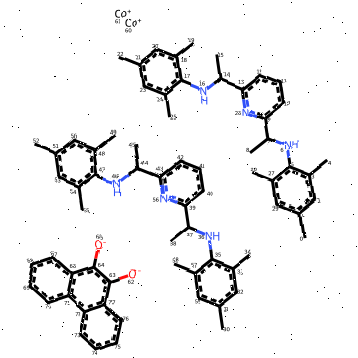 Cc1cc(C)c(NC(C)c2cccc(C(C)Nc3c(C)cc(C)cc3C)n2)c(C)c1.Cc1cc(C)c(NC(C)c2cccc(C(C)Nc3c(C)cc(C)cc3C)n2)c(C)c1.[Co+].[Co+].[O-]c1c([O-])c2ccccc2c2ccccc12